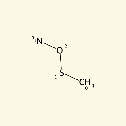 CSO[N]